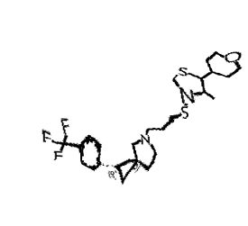 CC1C(C2CCOCC2)SCN1SCCCN1CC[C@]2(C[C@@H]2c2ccc(C(F)(F)F)cc2)C1